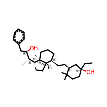 CC[C@]1(O)CCC(C)(C)[C@@H](CC[C@@H]2CCC[C@]3(C)[C@@H]([C@H](C)[C@H](O)Cc4ccccc4)CC[C@@H]23)C1